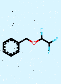 F[C](OCc1ccccc1)C(F)F